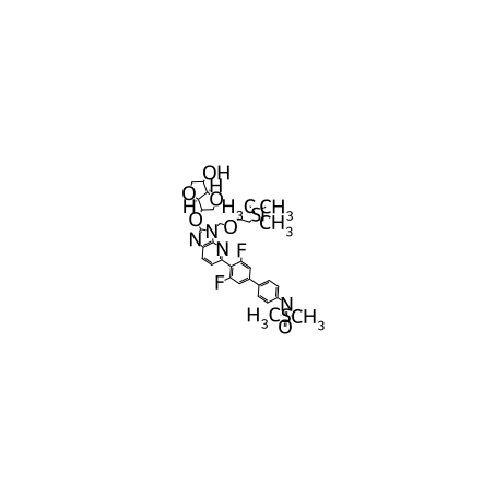 C[Si](C)(C)CCOCn1c(O[C@@H]2CO[C@H]3[C@@H]2OC[C@H]3O)nc2ccc(-c3c(F)cc(-c4ccc(N=S(C)(C)=O)cc4)cc3F)nc21